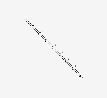 C=C=C=C=C=C=C=C=S